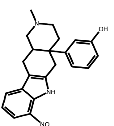 CN1CCC2(c3cccc(O)c3)Cc3[nH]c4c([N+](=O)[O-])cccc4c3CC2C1